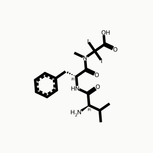 CC(C)[C@@H](N)C(=O)N[C@H](Cc1ccccc1)C(=O)N(C)C(I)(I)C(=O)O